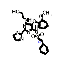 COc1ccccc1Oc1c(NCCO)nc(-c2ncccn2)nc1NS(=O)(=O)/C=C/c1ccccc1